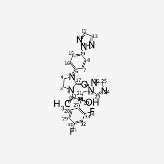 C[C@@H](N1CCN(c2ccc(-n3nccn3)cc2)C1=O)[C@](O)(Cn1cncn1)c1ccc(F)cc1F